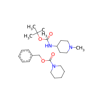 CN1CCC(NC(=O)OC(C)(C)C)CC1.O=C(OCc1ccccc1)N1CCCCC1